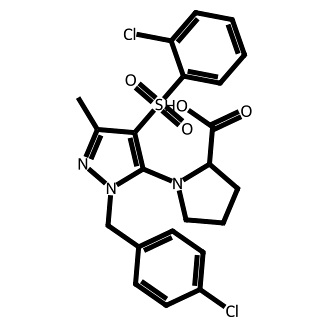 Cc1nn(Cc2ccc(Cl)cc2)c(N2CCCC2C(=O)O)c1S(=O)(=O)c1ccccc1Cl